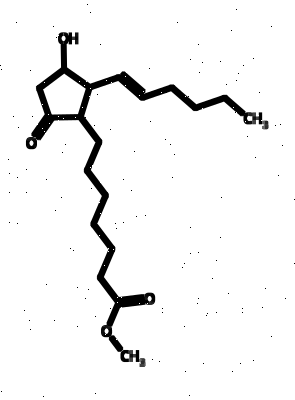 CCCCC=CC1C(O)CC(=O)C1CCCCCCC(=O)OC